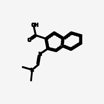 CN(C)C=Nc1cc2ccccc2cc1C(=O)O